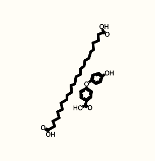 O=C(O)CCCCCCCCCCCCCCCCCCCCCCC(=O)O.O=C(O)c1ccc(Oc2ccc(O)cc2)cc1